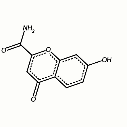 NC(=O)c1cc(=O)c2ccc(O)cc2o1